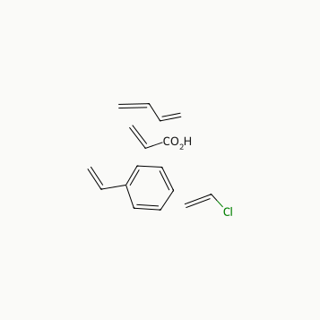 C=CC(=O)O.C=CC=C.C=CCl.C=Cc1ccccc1